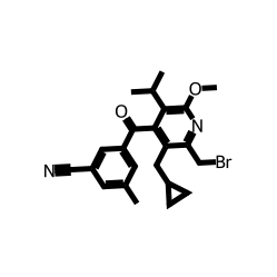 COc1nc(CBr)c(CC2CC2)c(C(=O)c2cc(C)cc(C#N)c2)c1C(C)C